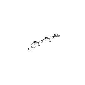 CSOCC(=O)NCCOCC(=O)N[C@H]1CC[C@@H](C(C)=O)CC1